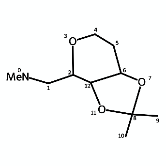 CNCC1OCCC2OC(C)(C)OC12